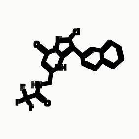 O=C(NCc1cc(=O)n2nc(Cl)c(-c3ccc4ccccc4c3)c2[nH]1)C(F)(F)F